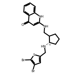 O=c1cc(NCC2CCC[C@@H]2NCc2cc(Br)c(Br)s2)[nH]c2ccccc12